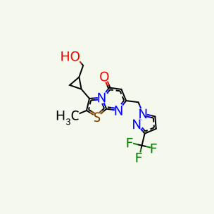 Cc1sc2nc(Cn3ccc(C(F)(F)F)n3)cc(=O)n2c1C1CC1CO